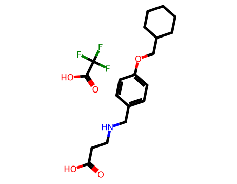 O=C(O)C(F)(F)F.O=C(O)CCNCc1ccc(OCC2CCCCC2)cc1